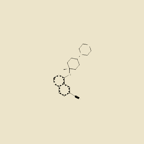 C[C@]1(Nc2ncnc3ccc(C#N)cc23)CC[C@H](N2CCOCC2)CC1